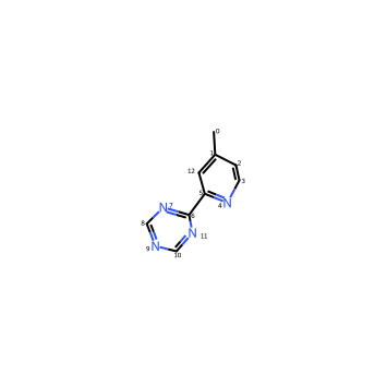 Cc1ccnc(-c2ncncn2)c1